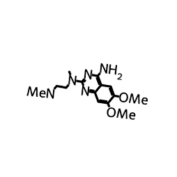 CNCCN(C)c1nc(N)c2cc(OC)c(OC)cc2n1